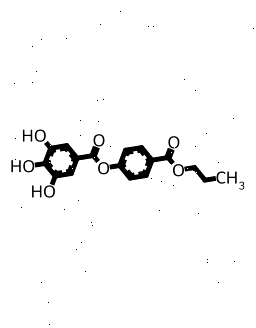 CCCOC(=O)c1ccc(OC(=O)c2cc(O)c(O)c(O)c2)cc1